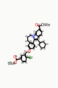 COC(=O)c1ccc2c(C3CCCCC3)c3n(c2c1)CCCc1cc(OCc2cc(C(=O)OC(C)(C)C)ccc2Br)ccc1-3